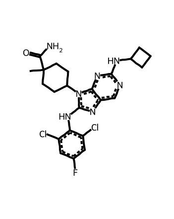 CC1(C(N)=O)CCC(n2c(Nc3c(Cl)cc(F)cc3Cl)nc3cnc(NC4CCC4)nc32)CC1